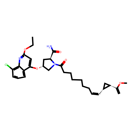 C=C(OC)[C@H]1C[C@H]1/C=C\CCCCCCC(=O)N1C[C@H](Oc2cc(OCC)nc3c(Cl)cccc23)C[C@H]1C(N)=O